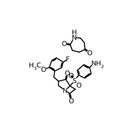 COc1ccc(F)cc1CC1CN2C(=O)CC2(S(=O)(=O)c2ccc(N)cc2)C1=O.O=C1CCNC(=O)CC1